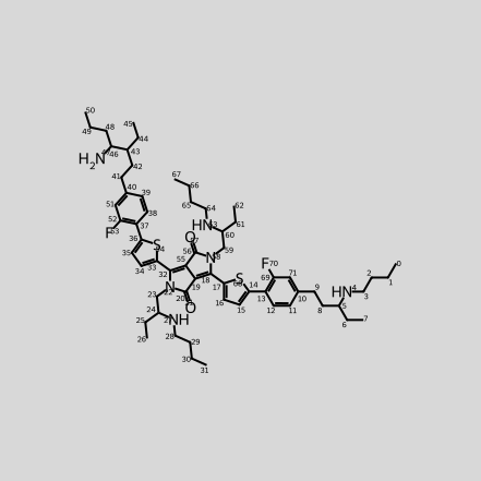 CCCCNC(CC)CCc1ccc(-c2ccc(C3=C4C(=O)N(CC(CC)NCCCC)C(c5ccc(-c6ccc(CCC(CC)C(N)CCC)cc6F)s5)=C4C(=O)N3CC(CC)NCCCC)s2)c(F)c1